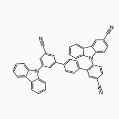 N#Cc1cc(-c2ccc(-c3cc(C#N)ccc3-n3c4ccccc4c4cc(C#N)ccc43)cc2)cc(-n2c3ccccc3c3ccccc32)c1